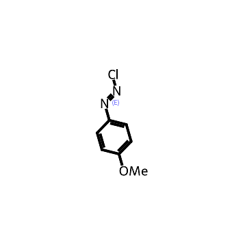 COc1ccc(/N=N/Cl)cc1